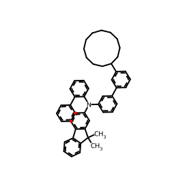 CC1(C)c2ccccc2-c2ccc(N(c3cccc(-c4cccc(C5CCCCCCCCCCC5)c4)c3)c3ccccc3-c3ccccc3)cc21